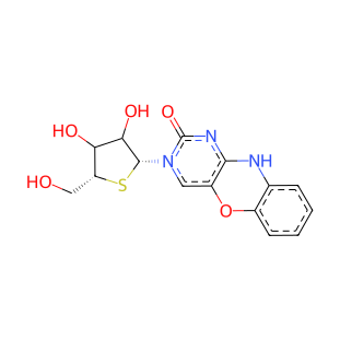 O=c1nc2c(cn1[C@@H]1S[C@H](CO)C(O)C1O)Oc1ccccc1N2